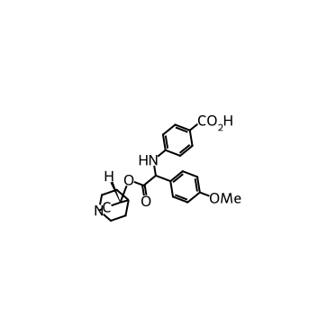 COc1ccc(C(Nc2ccc(C(=O)O)cc2)C(=O)O[C@H]2CN3CCC2CC3)cc1